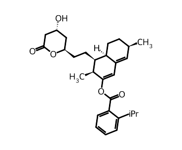 CC(C)c1ccccc1C(=O)OC1=CC2=C[C@H](C)CC[C@@H]2[C@H](CC[C@@H]2C[C@@H](O)CC(=O)O2)[C@@H]1C